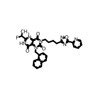 CC(F)c1nc2c(=O)n(CCCCc3noc(-c4ccccn4)n3)c(=O)n(Cc3cccc4ccccc34)c2c(=O)[nH]1